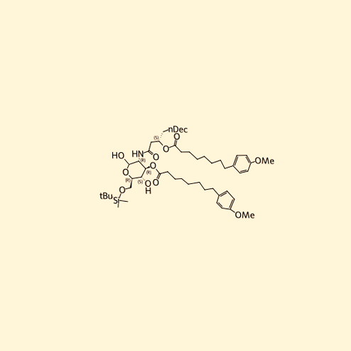 CCCCCCCCCCC[C@@H](CC(=O)N[C@H]1C(O)O[C@H](CO[Si](C)(C)C(C)(C)C)[C@@H](O)[C@@H]1OC(=O)CCCCCCCc1ccc(OC)cc1)OC(=O)CCCCCCCc1ccc(OC)cc1